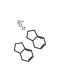 C1=CCC2CCCC2=C1.C1=CCC2CCCC2=C1.[Cl-].[Cl-].[Zr+2]